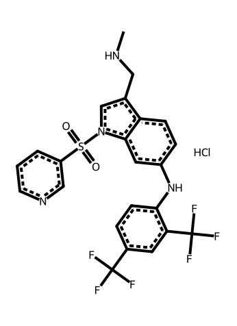 CNCc1cn(S(=O)(=O)c2cccnc2)c2cc(Nc3ccc(C(F)(F)F)cc3C(F)(F)F)ccc12.Cl